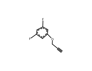 C#CCOc1cc(F)[c]c(F)c1